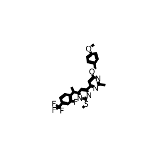 COc1ccc(COc2cc(-c3cc(C(C)c4ccc(C(F)(F)F)cc4F)nc(SC)n3)nc(C)n2)cc1